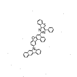 c1ccc(-c2nc(-c3cc4oc5ccc(-n6c7ccccc7c7cc8ccccc8cc76)cc5c4c4ccccc34)nc3c2sc2ccccc23)cc1